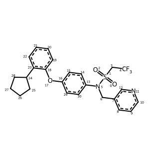 O=S(=O)(CC(F)(F)F)N(Cc1cccnc1)c1ccc(Oc2ccccc2C2CCCC2)cc1